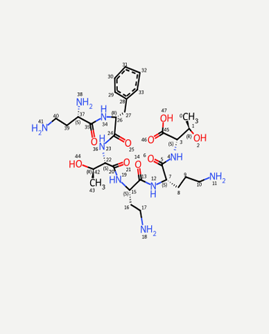 C[C@@H](O)[C@H](NC(=O)[C@H](CCCN)NC(=O)[C@H](CCN)NC(=O)[C@@H](NC(=O)[C@@H](Cc1ccccc1)NC(=O)[C@@H](N)CCN)[C@@H](C)O)C(=O)O